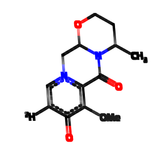 [2H]c1cn2c(c(OC)c1=O)C(=O)N1C(C)CCOC1C2